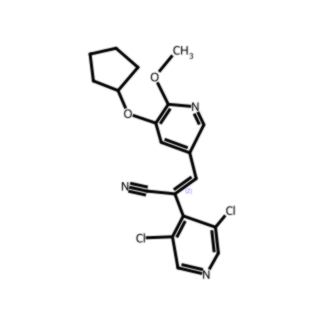 COc1ncc(/C=C(\C#N)c2c(Cl)cncc2Cl)cc1OC1CCCC1